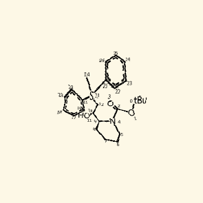 CC(C)(C)OC(=O)N1CCCC[C@H]1[C@@H](O)CS(C)(c1ccccc1)c1ccccc1